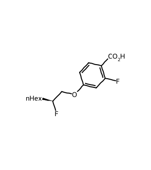 CCCCCC[C@H](F)COc1ccc(C(=O)O)c(F)c1